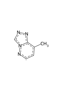 Cc1c[c]nn2cnnc12